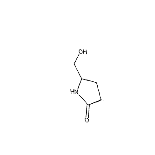 O=C1[CH]CC(CO)N1